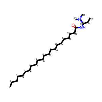 CCCCCCCCCCCCCCCCCCCCCC(=O)NC(CC)N(C)C